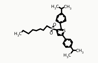 CCCCCCCCS(=O)(=O)c1cc(-c2ccc(C(C)C)cc2)sc1-c1ccc(C(C)C)cc1